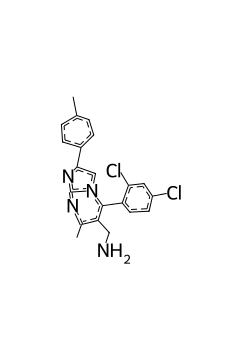 Cc1ccc(-c2cn3c(-c4ccc(Cl)cc4Cl)c(CN)c(C)nc3n2)cc1